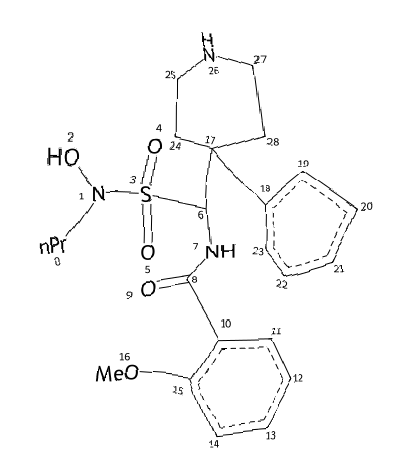 CCCN(O)S(=O)(=O)C(NC(=O)c1ccccc1OC)C1(c2ccccc2)CCNCC1